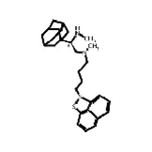 CN[C@@H](CN(C)CCCCN1Sc2cccc3cccc1c23)C12CC3CC(CC(C3)C1)C2